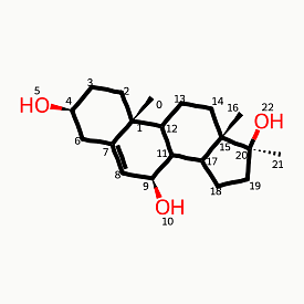 C[C@]12CC[C@H](O)CC1=C[C@H](O)C1C2CC[C@@]2(C)C1CC[C@]2(C)O